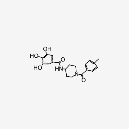 Cc1ccc(C(=O)N2CCC(NC(=O)c3cc(O)c(O)c(O)c3)CC2)cc1